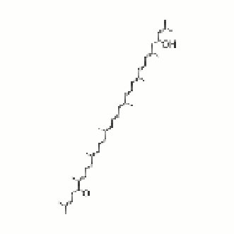 CC(C)=CCC(=O)/C(C)=C/C=C/C(C)=C/C=C/C(C)=C/C=C/C=C(C)/C=C/C=C(C)/C=C/C=C(\C)CC(O)C=C(C)C